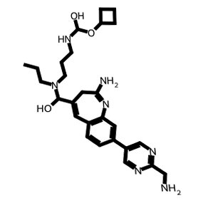 CCCN(CCCNC(O)OC1CCC1)C(O)C1=Cc2ccc(-c3cnc(CN)nc3)cc2N=C(N)C1